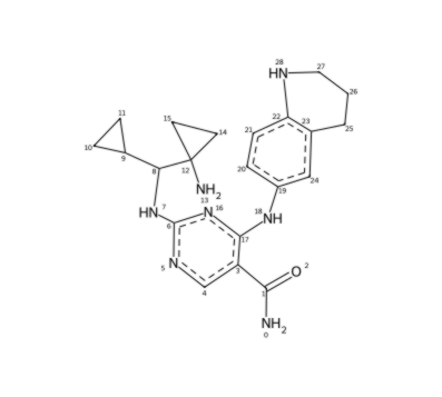 NC(=O)c1cnc(NC(C2CC2)C2(N)CC2)nc1Nc1ccc2c(c1)CCCN2